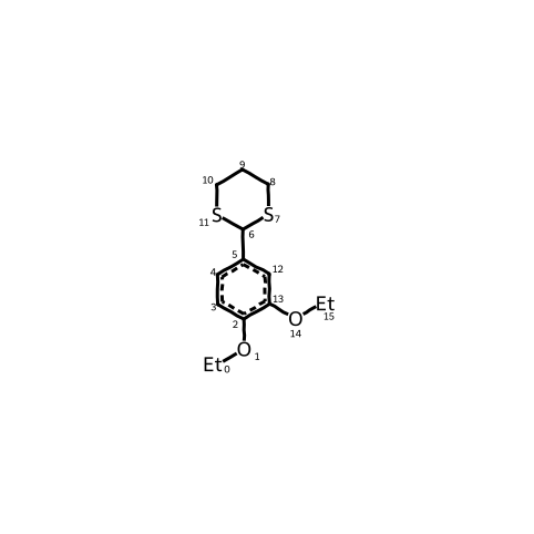 CCOc1ccc(C2SCCCS2)cc1OCC